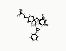 O=C(O)CCN1CCC(CN[C@@H]2C[C@H]2c2ccccc2)(Cc2ccc(F)cc2F)CC1